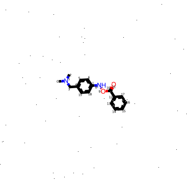 CN(C)Cc1ccc(NOC(=O)c2ccccc2)cc1